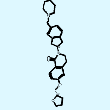 O=C1c2ccc(OC[C@@H]3CCCO3)cc2CCN1[C@@H]1Cc2ccc(CN3CCCCC3)cc2C1